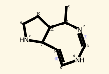 CC1/N=C\N/C=C/C2NCCC12